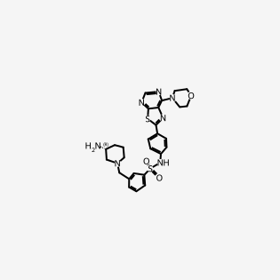 N[C@@H]1CCCN(Cc2cccc(S(=O)(=O)Nc3ccc(-c4nc5c(N6CCOCC6)ncnc5s4)cc3)c2)C1